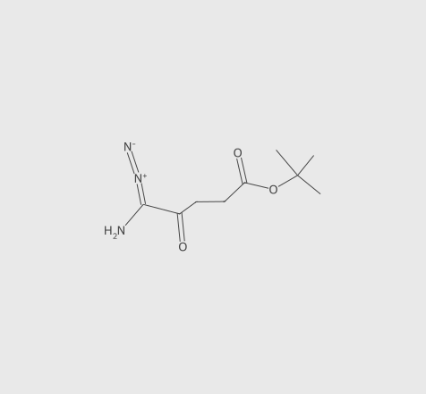 CC(C)(C)OC(=O)CCC(=O)C(N)=[N+]=[N-]